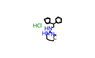 Cl.c1ccc(C(CN/C2=N\CCCCCCN2)c2ccccc2)cc1